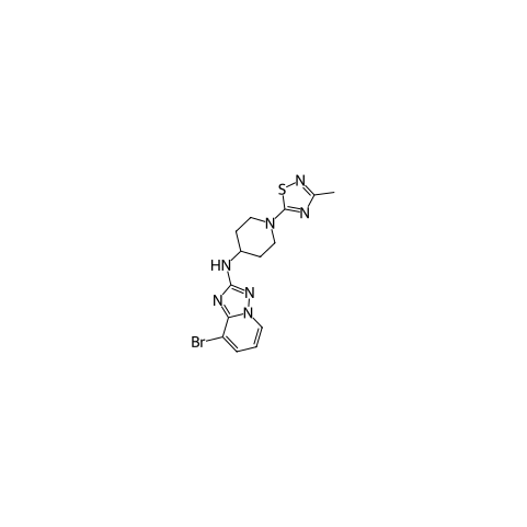 Cc1nsc(N2CCC(Nc3nc4c(Br)cccn4n3)CC2)n1